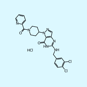 Cl.O=C(c1ccccn1)N1CCC(n2ncc3nc(NCc4ccc(Cl)c(Cl)c4)[nH]c(=O)c32)CC1